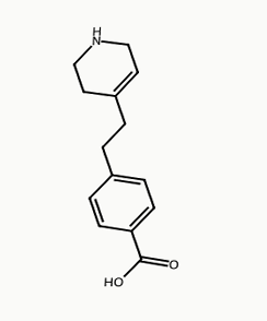 O=C(O)c1ccc(CCC2=CCNCC2)cc1